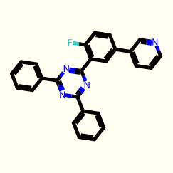 Fc1ccc(-c2cccnc2)cc1-c1nc(-c2ccccc2)nc(-c2ccccc2)n1